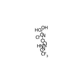 OC[C@@H](O)c1cnc(-c2ccc3c(Nc4ccc(C(F)(F)F)cn4)nccc3c2)c(Cl)c1